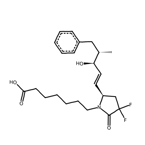 C[C@@H](Cc1ccccc1)[C@H](O)C=C[C@H]1CC(F)(F)C(=O)N1CCCCCCC(=O)O